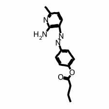 CCCC(=O)Oc1ccc(/N=N/c2ccc(C)nc2N)cc1